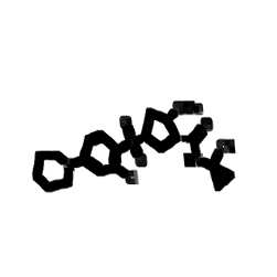 CO[C@@H]1C[C@H](S(=O)(=O)c2ccc(N3CCCCC3)cc2Cl)C[C@H]1C(=O)NC1(C#N)CC1